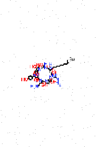 CC[C@H](C)C[C@H](C)CCCCCCCCC(=O)N[C@H]1C[C@@H](O)[C@@H](NCCN)NC(=O)[C@@H]2[C@@H](O)CCN2C(=O)[C@H]([C@H](O)CCN)NC(=O)[C@H]([C@H](O)[C@@H](O)c2ccc(O)cc2)NC(=O)[C@@H]2C[C@@H](O)CN2C(=O)[C@H]([C@@H](C)O)NC1=O